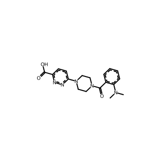 CN(C)c1ccccc1C(=O)N1CCN(c2ccc(C(=O)O)nn2)CC1